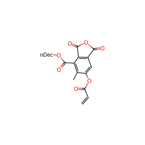 C=CC(=O)Oc1cc2c(c(C(=O)OCCCCCCCCCC)c1C)C(=O)OC2=O